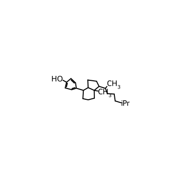 CC(C)CCCC(C)C1CCC2C(c3ccc(O)cc3)CCCC12C